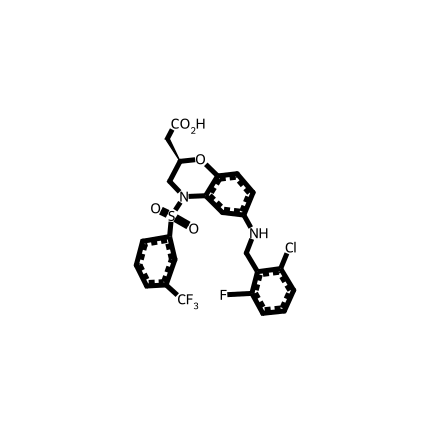 O=C(O)C[C@@H]1CN(S(=O)(=O)c2cccc(C(F)(F)F)c2)c2cc(NCc3c(F)cccc3Cl)ccc2O1